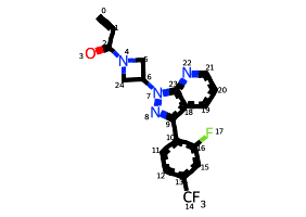 C=CC(=O)N1CC(n2nc(-c3ccc(C(F)(F)F)cc3F)c3cccnc32)C1